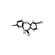 Cc1ccc2c(c1)NC(=O)C1C=CC(C(C)C)=CC1O2